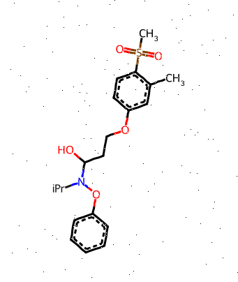 Cc1cc(OCCC(O)N(Oc2ccccc2)C(C)C)ccc1S(C)(=O)=O